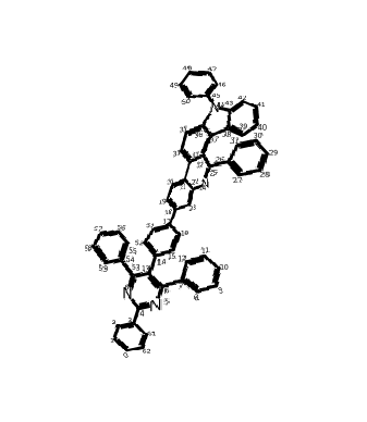 c1ccc(-c2nc(-c3ccccc3)c(-c3ccc(-c4ccc5c(c4)nc(-c4ccccc4)c4c5ccc5c4c4ccccc4n5-c4ccccc4)cc3)c(-c3ccccc3)n2)cc1